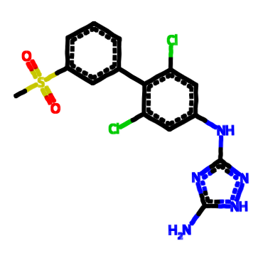 CS(=O)(=O)c1cccc(-c2c(Cl)cc(Nc3n[nH]c(N)n3)cc2Cl)c1